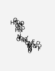 C#Cc1c(F)ccc2cccc(-c3ncc4c(N5CC6CCC(C5)N6)nc(OC[C@@]56CC[C@@H](COC(=O)N(C)CCCNc7cccc8c7C(=O)N(C7CCC(=O)NC7=O)C8=O)N5CC(=C)C6)nc4c3F)c12